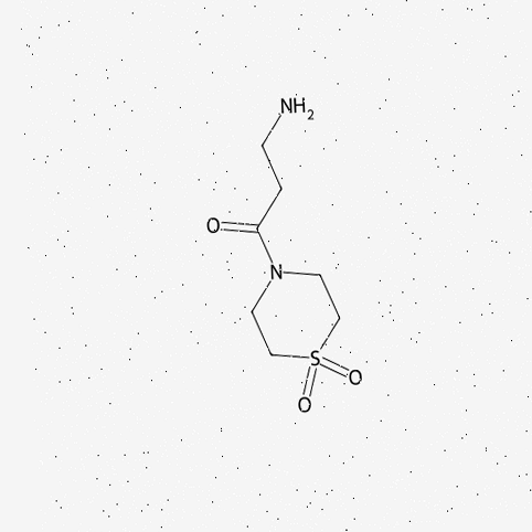 NCCC(=O)N1CCS(=O)(=O)CC1